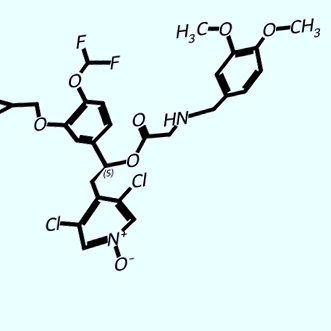 COc1ccc(CNCC(=O)O[C@@H](Cc2c(Cl)c[n+]([O-])cc2Cl)c2ccc(OC(F)F)c(OCC3CC3)c2)cc1OC